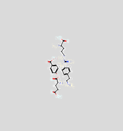 N=C(N)NCCC[C@@H](N)C(=O)O.NCCc1ccccc1.N[C@H](CCC(=O)O)C(=O)Oc1ccc(C(=O)O)cc1